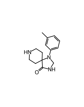 Cc1cccc(N2CNC(=O)C23CCNCC3)c1